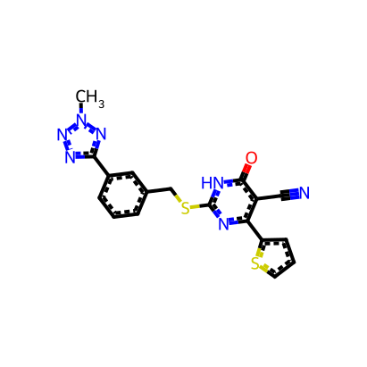 Cn1nnc(-c2cccc(CSc3nc(-c4cccs4)c(C#N)c(=O)[nH]3)c2)n1